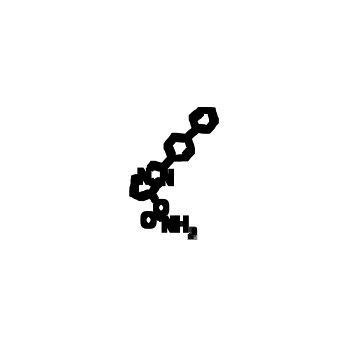 NC(=O)Oc1cccn2cc(-c3ccc(-c4ccccc4)cc3)nc12